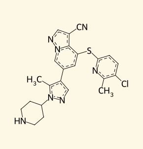 Cc1nc(Sc2cc(-c3cnn(C4CCNCC4)c3C)cn3ncc(C#N)c23)ccc1Cl